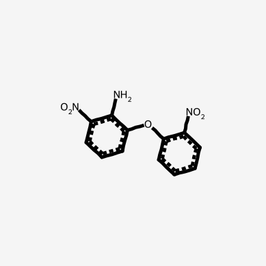 Nc1c(Oc2ccccc2[N+](=O)[O-])cccc1[N+](=O)[O-]